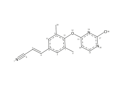 Cc1cc(/C=C/C#N)cc(C)c1Oc1ccnc(Cl)n1